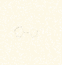 O=CC1CC(c2ccccc2)=NN1